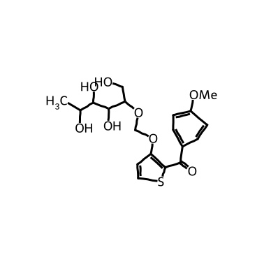 COc1ccc(C(=O)c2sccc2OCOC(CO)C(O)C(O)C(C)O)cc1